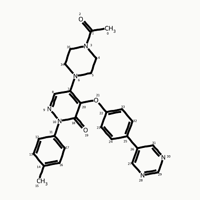 CC(=O)N1CCN(c2cnn(-c3ccc(C)cc3)c(=O)c2Oc2ccc(-c3cncnc3)cc2)CC1